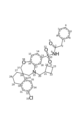 O=C(Cc1ccccc1)NS(=O)(=O)c1ccc2c(c1)N(CC1CCC1)CC1(CCCc3cc(Cl)ccc31)CO2